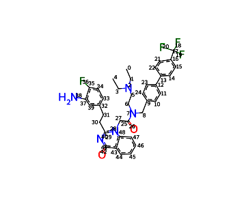 CCN(CC)CCN(Cc1ccc(-c2ccc(C(F)(F)F)cc2)cc1)C(=O)Cn1c(CCc2ccc(F)c(N)c2)nc(=O)c2ccccc21